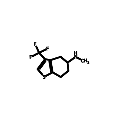 CNC1CCc2scc(C(F)(F)F)c2C1